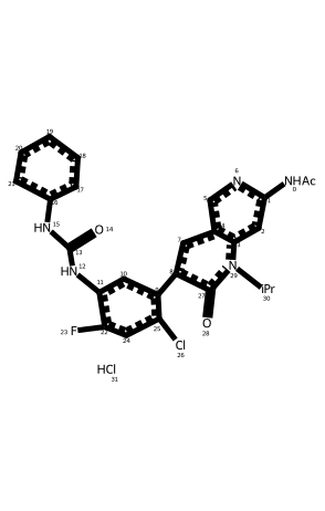 CC(=O)Nc1cc2c(cn1)cc(-c1cc(NC(=O)Nc3ccccc3)c(F)cc1Cl)c(=O)n2C(C)C.Cl